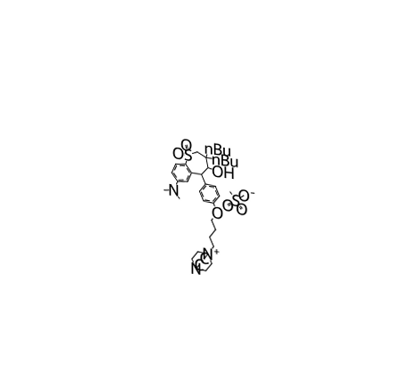 CCCCC1(CCCC)CS(=O)(=O)c2ccc(N(C)C)cc2C(c2ccc(OCCCC[N+]34CCN(CC3)CC4)cc2)C1O.CS(=O)(=O)[O-]